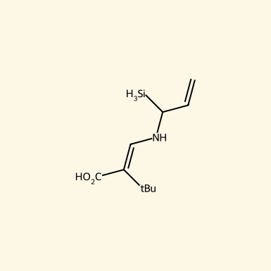 C=CC([SiH3])NC=C(C(=O)O)C(C)(C)C